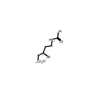 CCOC(=O)CC(Br)CCNC(=O)C(C)C